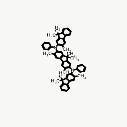 Cc1cc2c(cc1N(c1ccccc1)c1cc3c(cc1C)-c1cc(C)c(N(c4ccccc4)c4cc5c(cc4C)-c4ccccc4C5(C)C)cc1C3(C)C)C(C)(C)c1ccccc1-2